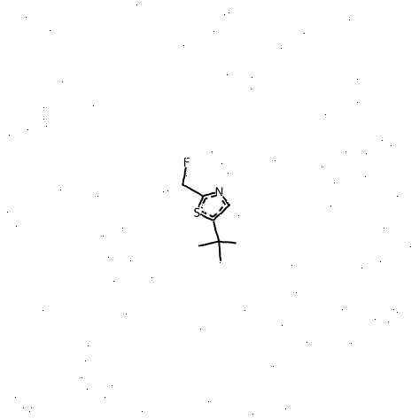 CC(C)(C)c1cnc(CF)s1